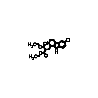 CCOC(=O)C(CC1=NCCc2c1[nH]c1ccc(Cl)cc21)C(=O)OCC